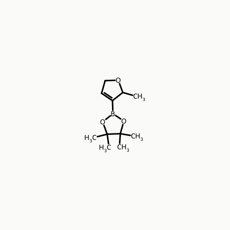 CC1OCC=C1B1OC(C)(C)C(C)(C)O1